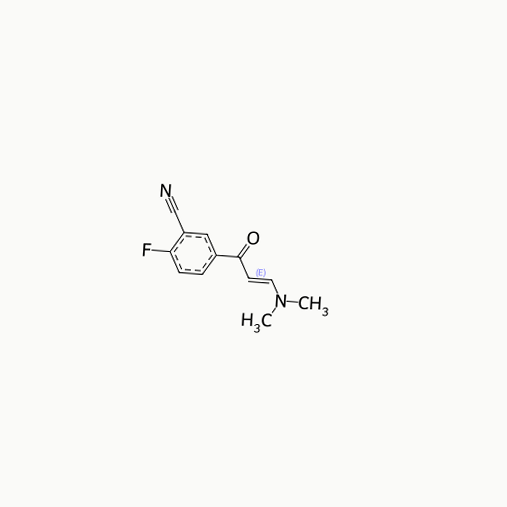 CN(C)/C=C/C(=O)c1ccc(F)c(C#N)c1